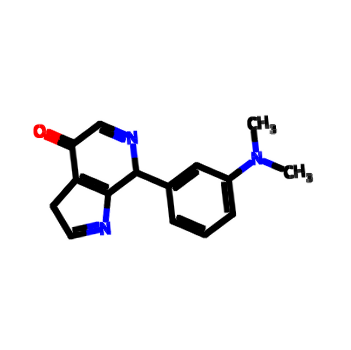 CN(C)c1cccc(C2N=CC(=O)C3=C2N=CC3)c1